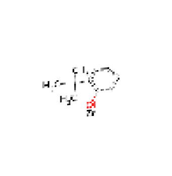 CC(C)(C)c1ccccc1O.[Zr]